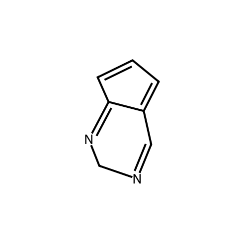 C1=CC2=NCN=CC2=C1